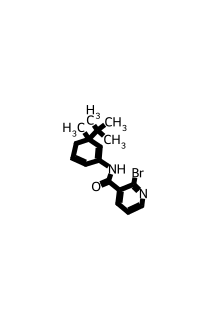 CC(C)(C)C1(C)C=C(NC(=O)c2cccnc2Br)C=CC1